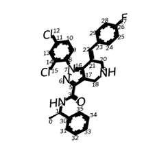 C[C@@H](NC(=O)c1nn(-c2ccc(Cl)cc2Cl)c2c1CNC/C2=C\c1ccc(F)cc1)c1ccccc1